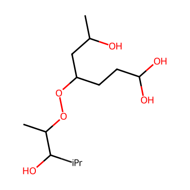 CC(O)CC(CCC(O)O)OOC(C)C(O)C(C)C